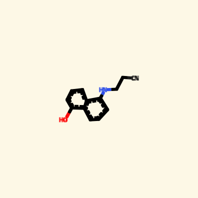 N#CCCNc1cccc2c(O)cccc12